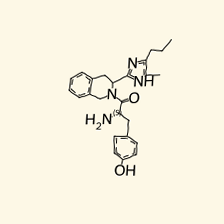 CCCc1nc(C2Cc3ccccc3CN2C(=O)[C@@H](N)Cc2ccc(O)cc2)[nH]c1C